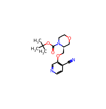 CC(C)(C)OC(=O)N1CCOC[C@H]1COc1cnccc1C#N